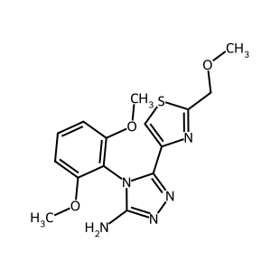 COCc1nc(-c2nnc(N)n2-c2c(OC)cccc2OC)cs1